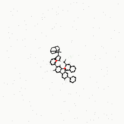 C/[C](c1ccc2ccccc2c1)=[Zr+2](\[C]1=CC(C2(C)C3CC4CC(C3)CC2C4)=CC1C)[c]1c2c(cc(C(C)(C)C)c1-c1ccccc1)-c1cc(C(C)(C)C)c(-c3ccccc3)cc1C2.[Cl-].[Cl-]